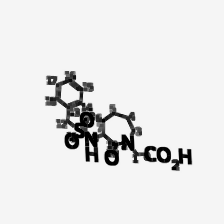 O=C(O)CN1CCCCC(NS(=O)(=O)Cc2ccccc2)C1=O